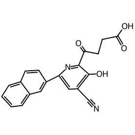 N#Cc1cc(-c2ccc3ccccc3c2)nc(C(=O)CCC(=O)O)c1O